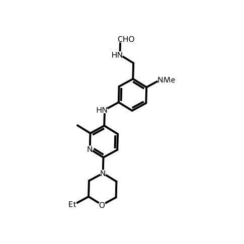 CCC1CN(c2ccc(Nc3ccc(NC)c(CNC=O)c3)c(C)n2)CCO1